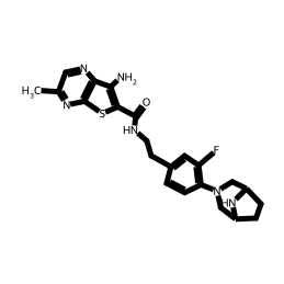 Cc1cnc2c(N)c(C(=O)NCCc3ccc(N4CC5CCC(C4)N5)c(F)c3)sc2n1